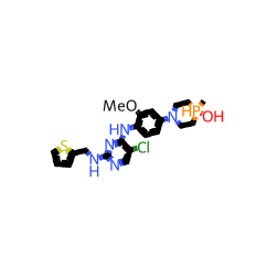 COc1cc(N2CC[PH](C)(O)CC2)ccc1Nc1nc(NCc2cccs2)ncc1Cl